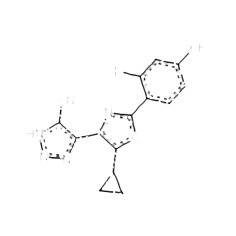 N#Cc1[nH]nnc1-c1nc(-c2ccc(C(F)(F)F)cc2F)oc1C1CC1